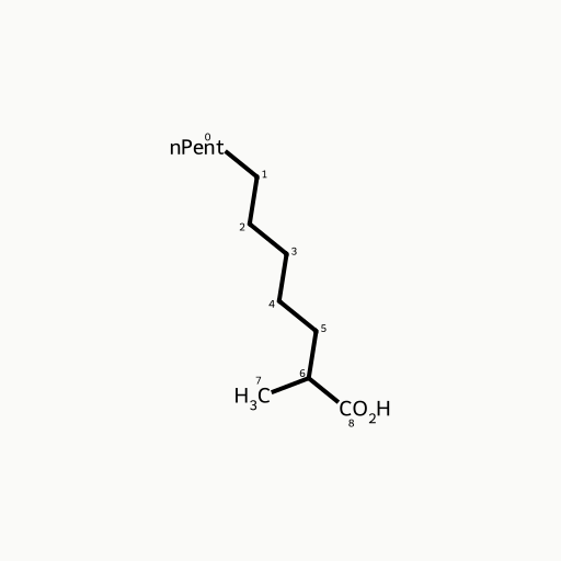 CCCCCCCCCCC(C)C(=O)O